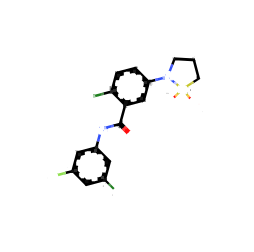 O=C(Nc1cc(F)cc(Cl)c1)c1cc(N2CCCS2(O)O)ccc1Cl